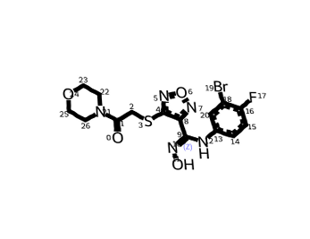 O=C(CSc1nonc1/C(=N/O)Nc1ccc(F)c(Br)c1)N1CCOCC1